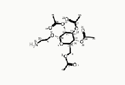 CC(=O)OC[C@H]1O[C@H](OCCN)[C@H](OC(C)=O)[C@@H](OC(C)=O)[C@@H]1OC(C)=O